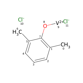 Cc1cccc(C)c1[O][V+2].[Cl-].[Cl-]